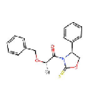 [2H][C@H](OCc1ccccc1)C(=O)N1C(=S)OCC1c1ccccc1